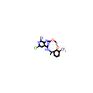 CCc1nc(Cl)cc2c3nc(nc12)OCCOc1c(cccc1C(F)(F)F)C(C)N3